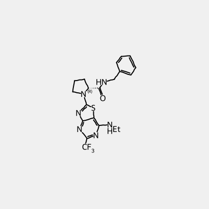 CCNc1nc(C(F)(F)F)nc2nc(N3CCC[C@@H]3C(=O)NCc3ccccc3)sc12